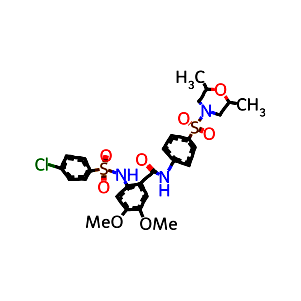 COc1cc(NS(=O)(=O)c2ccc(Cl)cc2)c(C(=O)Nc2ccc(S(=O)(=O)N3CC(C)OC(C)C3)cc2)cc1OC